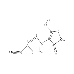 COC1=C(c2ccc(C#N)cc2)C(=O)OC1